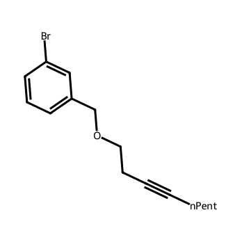 CCCCCC#CCCOCc1cccc(Br)c1